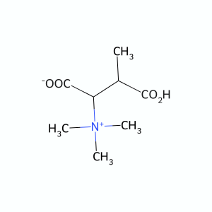 CC(C(=O)O)C(C(=O)[O-])[N+](C)(C)C